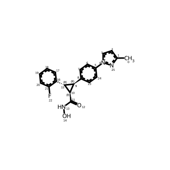 Cc1ccn(-c2ccc([C@H]3[C@@H](C(=O)NO)[C@@H]3c3ccccc3F)cc2)n1